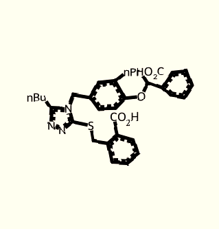 CCCCc1nnc(SCc2ccccc2C(=O)O)n1Cc1ccc(OC(C(=O)O)c2ccccc2)c(CCC)c1